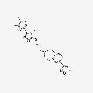 Cc1cc(-c2ccc3c(c2)CCN(CCCSc2nnc(-c4ccc(C)c(C)n4)n2C)CC3)no1